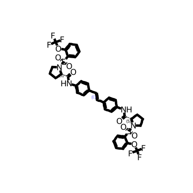 O=C(Nc1ccc(/C=C/c2ccc(NC(=O)[C@@H]3CCCN3S(=O)(=O)c3ccccc3OC(F)(F)F)cc2)cc1)[C@@H]1CCCN1S(=O)(=O)c1ccccc1OC(F)(F)F